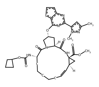 COC(=O)[C@@]12C[C@H]1/C=C\CCCCC[C@H](NC(=O)OC1CCC1)C(=O)N1C[C@H](Oc3nc(-c4cc(C)nn4C)nc4ccsc34)C[C@H]1C(=O)N2